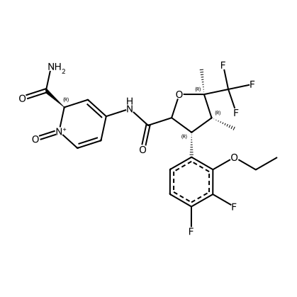 CCOc1c([C@@H]2C(C(=O)NC3=C[C@H](C(N)=O)[N+](=O)C=C3)O[C@@](C)(C(F)(F)F)[C@@H]2C)ccc(F)c1F